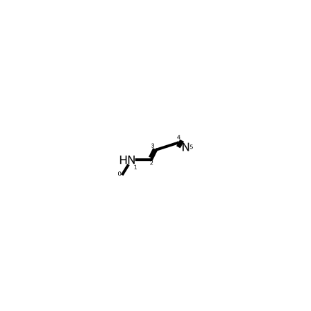 CNC=CC#N